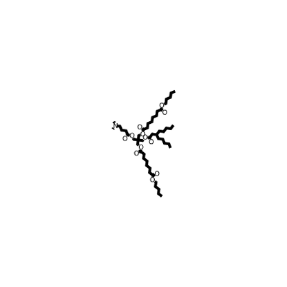 CCCCCOC(=O)CCCCCCC(=O)OCC(COC(=O)CCCCCCC(=O)OCCCCC)(COC(=O)CCCN(C)C)COC(=O)CC(CCCCC)CCCCC